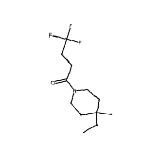 CCC1(C)CCN(C(=O)CCC(F)(F)F)CC1